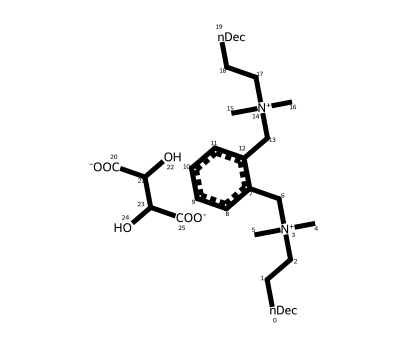 CCCCCCCCCCCC[N+](C)(C)Cc1ccccc1C[N+](C)(C)CCCCCCCCCCCC.O=C([O-])C(O)C(O)C(=O)[O-]